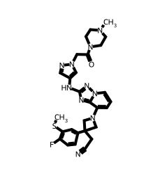 CSc1cc(C2(CC#N)CN(c3cccn4nc(Nc5cnn(CC(=O)N6CCN(C)CC6)c5)nc34)C2)ccc1F